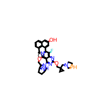 C#Cc1cccc2cc(O)cc(-c3nc4c5c(nc(OCC6(CN7CCPC7)CC6)nc5c3F)N3CC5CCC(N5)C3CO4)c12